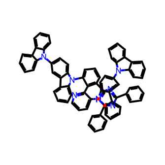 c1ccc(-c2nc(-c3ccccc3)nc(-c3cccc(-n4c5ccccc5c5cc(-n6c7ccccc7c7ccccc76)ccc54)c3-c3ncccc3-n3c4ccccc4c4cc(-n5c6ccccc6c6ccccc65)ccc43)n2)cc1